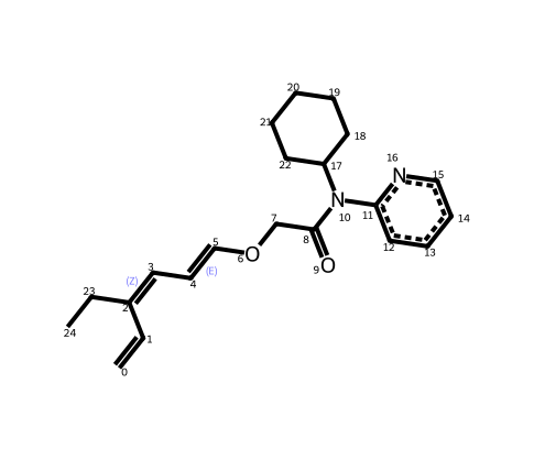 C=C/C(=C\C=C\OCC(=O)N(c1ccccn1)C1CCCCC1)CC